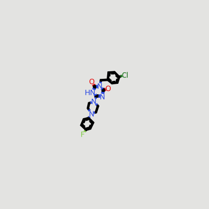 O=c1nc(N2CCN(c3ccc(F)cc3)CC2)[nH]c(=O)n1Cc1ccc(Cl)cc1